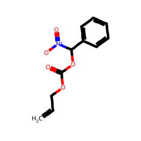 C=CCOC(=O)OC(c1ccccc1)[N+](=O)[O-]